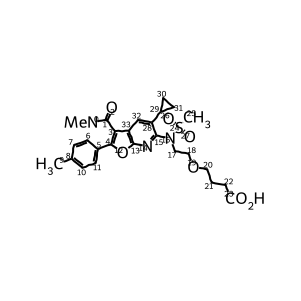 CNC(=O)c1c(-c2ccc(C)cc2)oc2nc(N(CCOCCCC(=O)O)S(C)(=O)=O)c(C3CC3)cc12